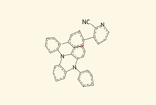 N#Cc1ncccc1-c1ccc(-c2ccccc2N2c3ccccc3N(c3ccccc3)c3ccccc32)cc1